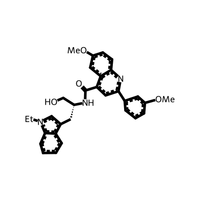 CCn1cc(C[C@H](CO)NC(=O)c2cc(-c3cccc(OC)c3)nc3ccc(OC)cc23)c2ccccc21